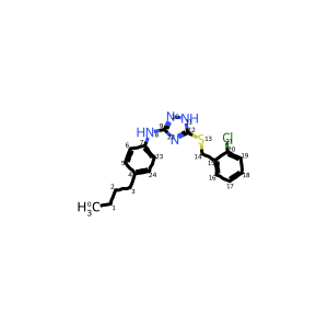 CCCCc1ccc(Nc2n[nH]c(SCc3ccccc3Cl)n2)cc1